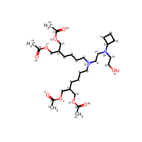 CC(=O)OCC(CCCCN(CCCCC(COC(C)=O)COC(C)=O)CCN(CCO)C1CCC1)COC(C)=O